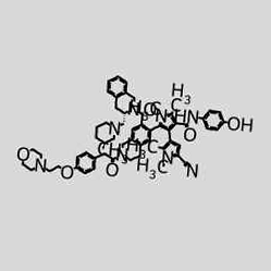 Cc1c(-c2c(C(=O)Nc3ccc(O)cc3)c(C)n(C)c2-c2cc3c(cc2C(=O)N2Cc4ccccc4C[C@H]2CN2CCC[C@H](C)C2)CN(C(=O)Cc2ccc(OCCN4CCOCC4)cc2)CC3)cc(C#N)n1C